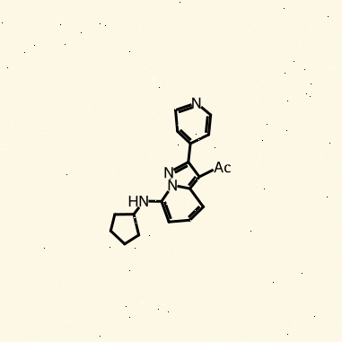 CC(=O)c1c(-c2ccncc2)nn2c(NC3CCCC3)cccc12